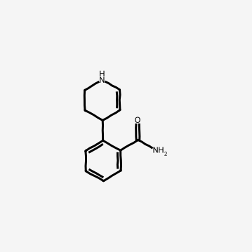 NC(=O)c1ccccc1C1C=CNCC1